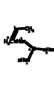 C=CC.CCCCCCN(CCCCCC)CCCCCC